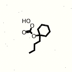 CCCCC1(OC(=O)OO)CCCCC1